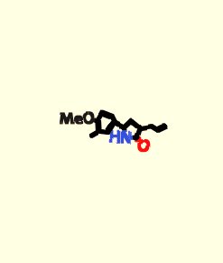 C=CCC1CC(c2ccc(OC)c(C)c2)NC1=O